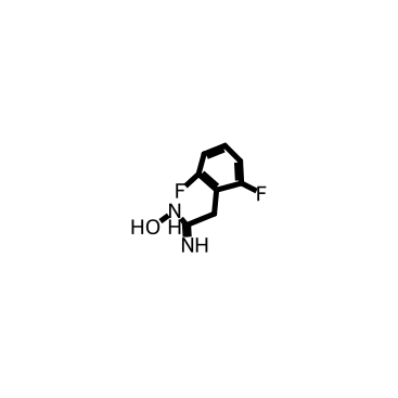 N=C(Cc1c(F)cccc1F)NO